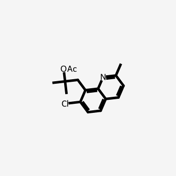 CC(=O)OC(C)(C)Cc1c(Cl)ccc2ccc(C)nc12